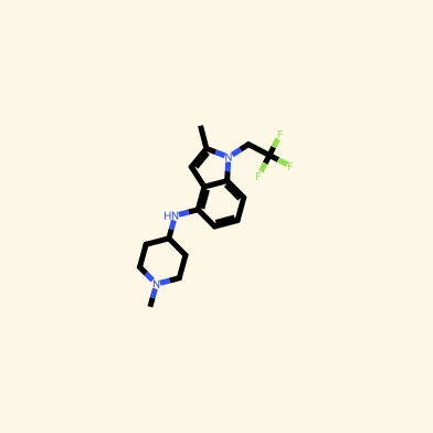 Cc1cc2c(NC3CCN(C)CC3)cccc2n1CC(F)(F)F